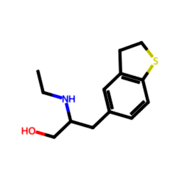 CCNC(CO)Cc1ccc2c(c1)CCS2